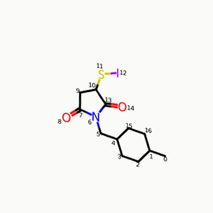 CC1CCC(CN2C(=O)CC(SI)C2=O)CC1